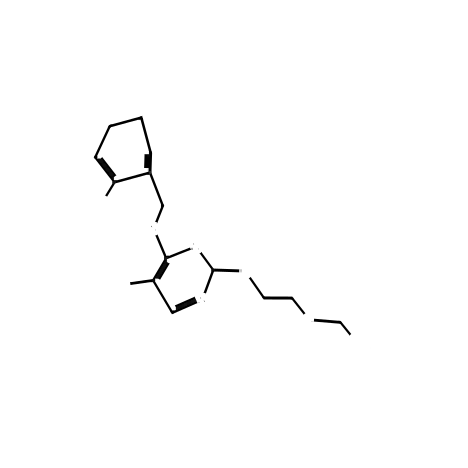 CCSCCOC1N=CC(F)=C(NCC2=CCCC=C2F)N1